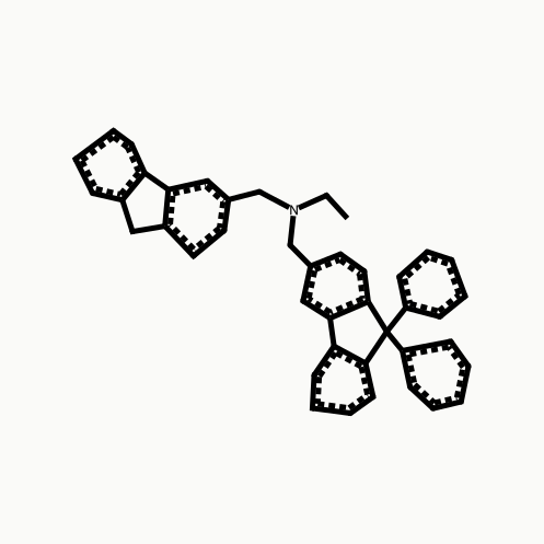 CCN(Cc1ccc2c(c1)-c1ccccc1C2)Cc1ccc2c(c1)-c1ccccc1C2(c1ccccc1)c1ccccc1